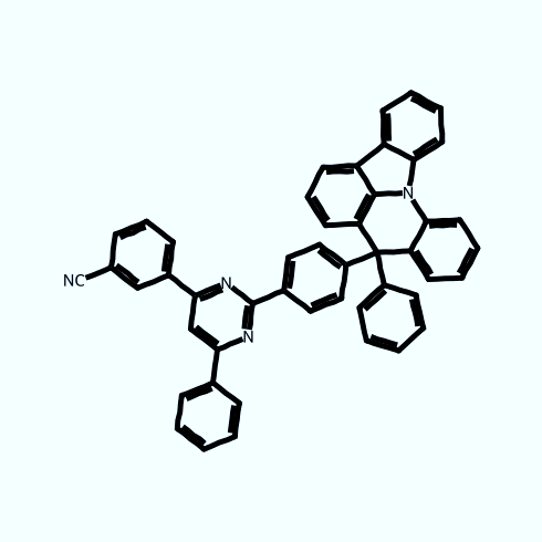 N#Cc1cccc(-c2cc(-c3ccccc3)nc(-c3ccc(C4(c5ccccc5)c5ccccc5-n5c6ccccc6c6cccc4c65)cc3)n2)c1